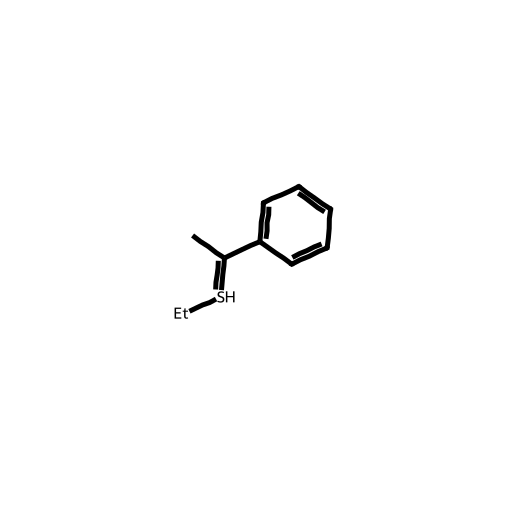 CC[SH]=C(C)c1ccccc1